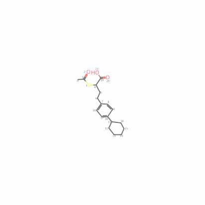 CC(=O)SC(CCc1ccc(C2CCCCC2)cc1)C(=O)O